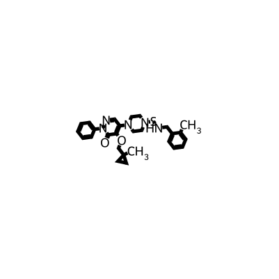 Cc1ccccc1CNSN1CCN(c2cnn(-c3ccccc3)c(=O)c2OCC2(C)CC2)CC1